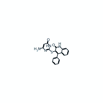 Nc1cc(=O)[nH]c(Sc2c(-c3ccccc3)c3ccccc3[nH]c2=O)n1